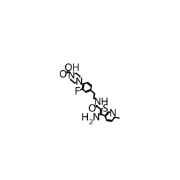 Cc1ccc2c(N)c(C(=O)NCCc3ccc(N4CCN(C(=O)O)CC4)c(F)c3)sc2n1